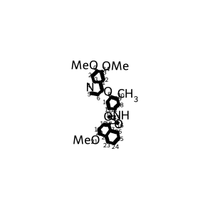 COc1cc2nccc(Oc3ccc(NS(=O)(=O)c4ccc(OC)c5ccccc45)cc3C)c2cc1OC